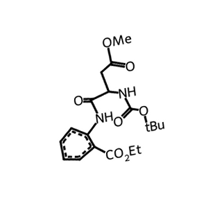 CCOC(=O)c1ccccc1NC(=O)C(CC(=O)OC)NC(=O)OC(C)(C)C